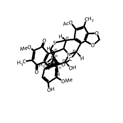 COC1=C(C)C(=O)C2=C(C1=O)[C@@H]1C3[C@@H]4SC[C@]5(NCCc6cc(O)c(OC)cc65)C(=O)OC[C@@H](c5c6c(c(C)c(OC(C)=O)c54)OCO6)N3[C@@H](O)[C@H](C2)N1C